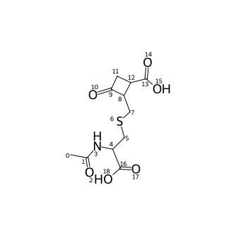 CC(=O)NC(CSCC1C(=O)CC1C(=O)O)C(=O)O